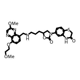 COCCOc1ccc(CNCCCC2CN(c3ccc4c(c3)NC(=O)CS4)C(=O)O2)c2nc(OC)cnc12